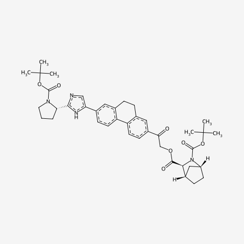 CC(C)(C)OC(=O)N1CCC[C@H]1c1ncc(-c2ccc3c(c2)CCc2cc(C(=O)COC(=O)[C@@H]4[C@H]5CC[C@H](C5)N4C(=O)OC(C)(C)C)ccc2-3)[nH]1